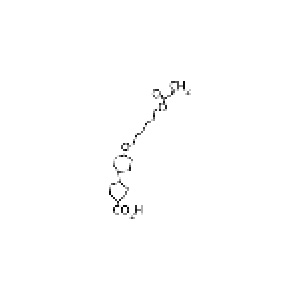 C=CC(=O)OCCCCCCOC1CCC(C2CCC(C(=O)O)CC2)CC1